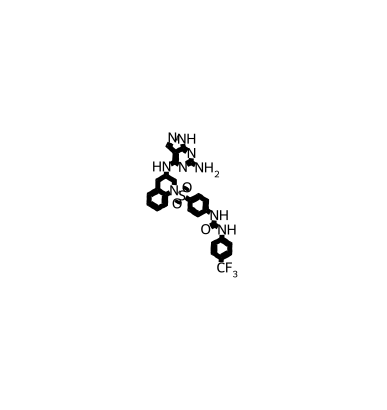 Nc1nc(NC2Cc3ccccc3N(S(=O)(=O)c3ccc(NC(=O)Nc4ccc(C(F)(F)F)cc4)cc3)C2)c2cn[nH]c2n1